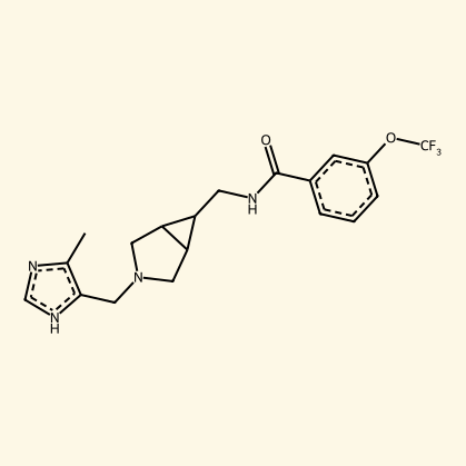 Cc1nc[nH]c1CN1CC2C(CNC(=O)c3cccc(OC(F)(F)F)c3)C2C1